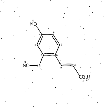 N#COc1cc(O)ccc1C=CC(=O)O